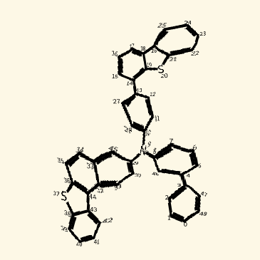 c1ccc(-c2cccc(N(c3ccc(-c4cccc5c4sc4ccccc45)cc3)c3ccc4c(ccc5sc6ccccc6c54)c3)c2)cc1